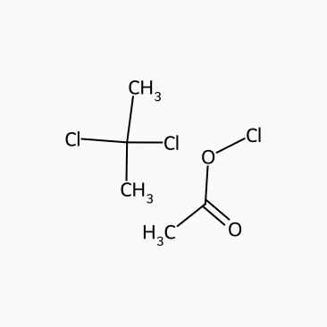 CC(=O)OCl.CC(C)(Cl)Cl